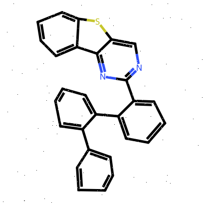 c1ccc(-c2ccccc2-c2ccccc2-c2ncc3sc4ccccc4c3n2)cc1